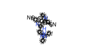 Cc1c2c(-c3ccc(C#N)cc3)nc3cc(-c4cccc(C5=NC(c6ccccc6)=NC(c6ccccc6)N5)c4)ccc3c2c(C)c2c(-c3ccc(C#N)cc3)nc3ccccc3c12